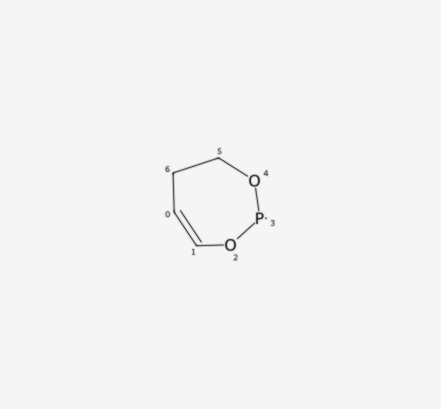 C1=CO[P]OCC1